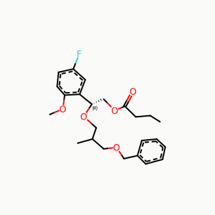 CCCC(=O)OC[C@H](OCC(C)COCc1ccccc1)c1cc(F)ccc1OC